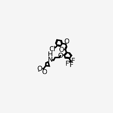 COC(=O)C1CC(NCCCOc2cc(C(F)(F)F)ccc2-c2cc(=O)c3cccc(Cl)c3o2)C1